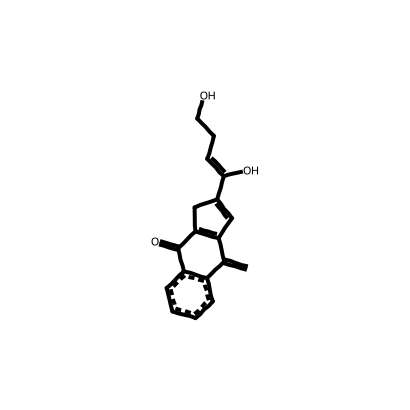 C=C1C2=C(CC(/C(O)=C/CCO)=C2)C(=O)c2ccccc21